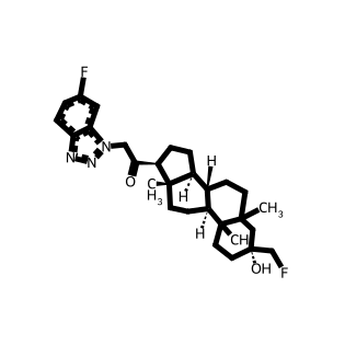 CC12CC[C@@H]3[C@H](CC[C@]4(C)[C@@H](C(=O)Cn5nnc6ccc(F)cc65)CC[C@@H]34)C1(C)CC[C@](O)(CF)C2